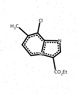 CCOC(=O)c1cnc2c(Cl)c(C)ccn12